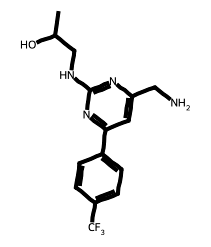 CC(O)CNc1nc(CN)cc(-c2ccc(C(F)(F)F)cc2)n1